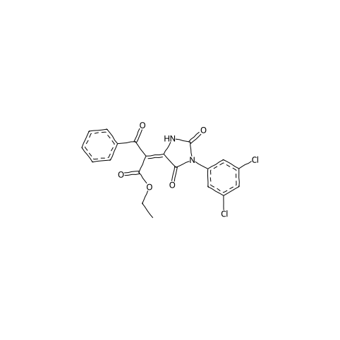 CCOC(=O)C(C(=O)c1ccccc1)=C1NC(=O)N(c2cc(Cl)cc(Cl)c2)C1=O